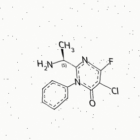 C[C@H](N)c1nc(F)c(Cl)c(=O)n1-c1ccccc1